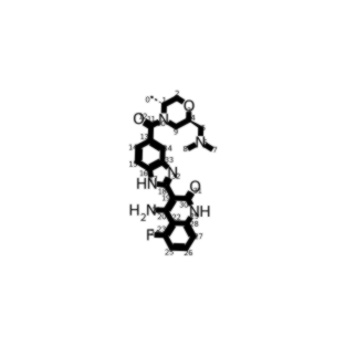 C[C@@H]1CO[C@@H](CN(C)C)CN1C(=O)c1ccc2[nH]c(-c3c(N)c4c(F)cccc4[nH]c3=O)nc2c1